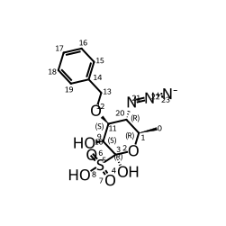 C[C@H]1O[C@@](O)(S(=O)(=O)O)[C@@H](O)[C@@H](OCc2ccccc2)[C@@H]1N=[N+]=[N-]